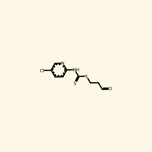 O=CCCSC(=S)Nc1ccc(Cl)cn1